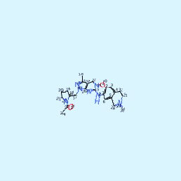 COc1cc2c(cc1Nc1ncc3c(C)nn(C[C@@H]4CCCN4C(C)=O)c3n1)CN(C)CC2